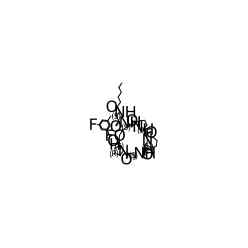 CCCCCC(=O)N[C@@H](Cc1cc(F)cc(F)c1)C(=O)N[C@H]1COC(=O)[C@@H]2C[C@@H](C)CN2C(=O)[C@H](C)NC(=O)[C@@H]2CCCCN2C(=O)[C@@H]2CCCN2C1=O